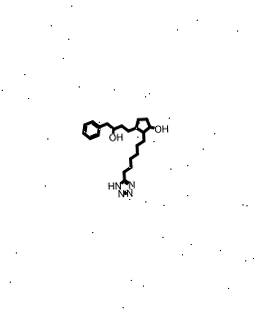 OC(CCC1CCC(O)C1CCCCCCc1nnn[nH]1)Cc1ccccc1